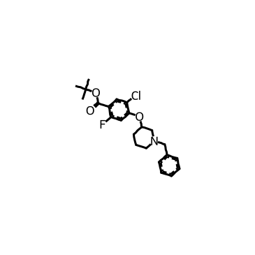 CC(C)(C)OC(=O)c1cc(Cl)c(OC2CCCN(Cc3ccccc3)C2)cc1F